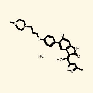 Cc1cc(C(O)=C2C(=O)Nc3cc(Cl)c(-c4ccc(OCCCN5CCN(C)CC5)cc4)cc32)on1.Cl